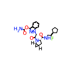 NC(=O)Oc1nn(CC(=O)N2[C@@H]3C[C@@H]3C[C@H]2C(=O)NCC(F)=C2CCCC2)c2ccccc12